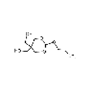 CCCOC1OCC(CO)(CO)CO1